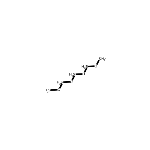 [SiH2]O[SiH2]O[SiH2]O[SiH2]O[SiH2]